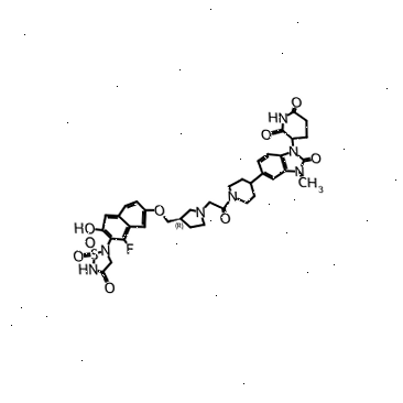 Cn1c(=O)n(C2CCC(=O)NC2=O)c2ccc(C3CCN(C(=O)CN4CC[C@@H](COc5ccc6cc(O)c(N7CC(=O)NS7(=O)=O)c(F)c6c5)C4)CC3)cc21